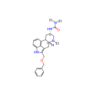 CCN(CC)C(=O)N[C@H]1CC2c3cccc4[nH]c(COCc5ccccc5)c(c34)C[C@H]2N(CC)C1